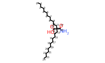 CCCCCCCCCCCCC(CCCCCCCCCCCC)(C(N)=O)C(=O)O